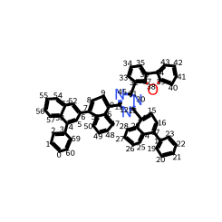 c1ccc(-c2cc(-c3ccc(-c4nc(-c5ccc(-c6ccccc6)c6ccccc56)nc(-c5cccc6c5oc5ccccc56)n4)c4ccccc34)cc3ccccc23)cc1